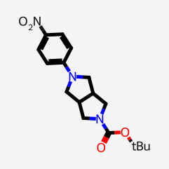 CC(C)(C)OC(=O)N1CC2CN(c3ccc([N+](=O)[O-])cc3)CC2C1